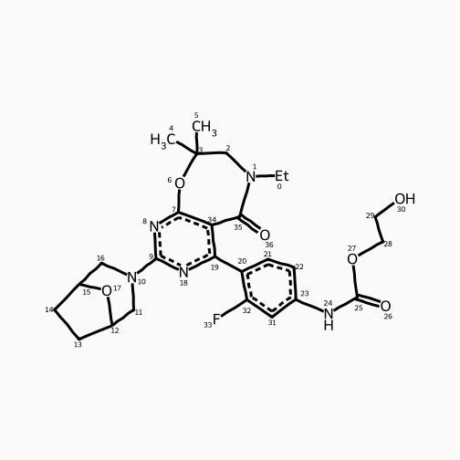 CCN1CC(C)(C)Oc2nc(N3CC4CCC(C3)O4)nc(-c3ccc(NC(=O)OCCO)cc3F)c2C1=O